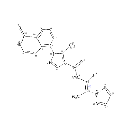 C/C(=C(/F)NC(=O)c1cnn(-c2cccc3c(=O)[nH]ccc23)c1C(F)(F)F)n1nccn1